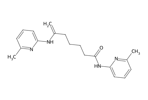 C=C(CCCCC(=O)Nc1cccc(C)n1)Nc1cccc(C)n1